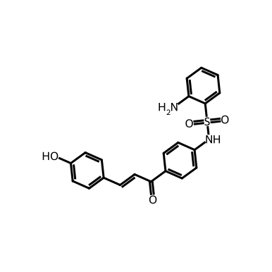 Nc1ccccc1S(=O)(=O)Nc1ccc(C(=O)C=Cc2ccc(O)cc2)cc1